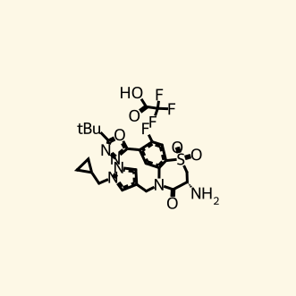 CC(C)(C)c1nnc(-c2cc3c(cc2F)S(=O)(=O)C[C@H](N)C(=O)N3Cc2cnn(CC3CC3)c2)o1.O=C(O)C(F)(F)F